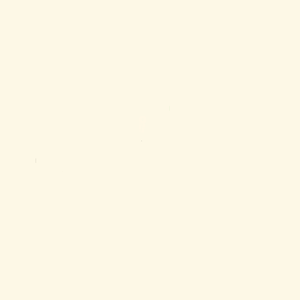 CSc1ccc(C(=O)/C=C/c2ccc3ccccc3c2)cc1.Cl